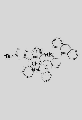 CCCC1=Cc2c(-c3c4ccccc4cc4ccccc34)cccc2[CH]1[Zr]([Cl])([Cl])([c]1c(C(C)(C)C)ccc2c1Cc1cc(C(C)(C)C)ccc1-2)[SiH](c1ccccc1)c1ccccc1